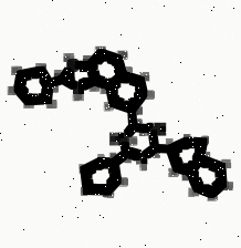 c1ccc(C2=NC(c3ccc4ccccc4c3)NC(c3ccc4ccc5oc(-c6ccccc6)nc5c4c3)N2)cc1